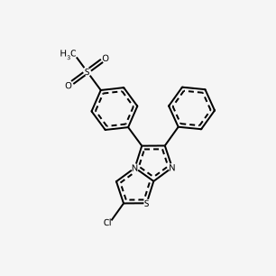 CS(=O)(=O)c1ccc(-c2c(-c3ccccc3)nc3sc(Cl)cn23)cc1